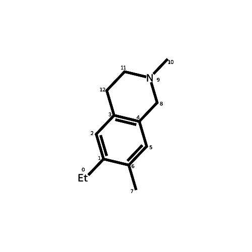 CCc1cc2c(cc1C)CN(C)CC2